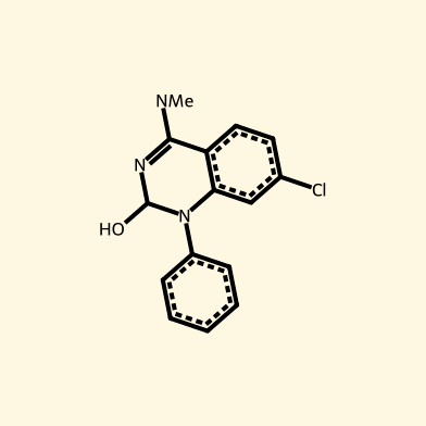 CNC1=NC(O)N(c2ccccc2)c2cc(Cl)ccc21